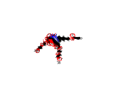 C#CC(=O)OCCCCCCN1N=NC(CCOCCOCCOC)(C(=O)O)C1(CCOCCOCCOC)C(=O)O